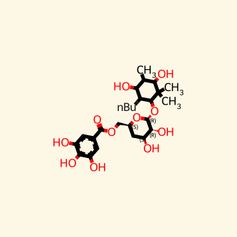 CCCCC1C(O)C(C)C(O)C(C)(C)C1O[C@@H]1O[C@H](COC(=O)c2cc(O)c(O)c(O)c2)C[C@H](O)[C@H]1O